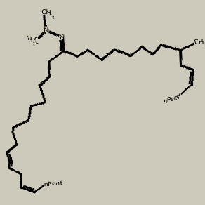 CCCCC/C=C\C/C=C\CCCCCCCC/C(CCCCCCCCC(C)C/C=C\CCCCC)=N\N(C)C